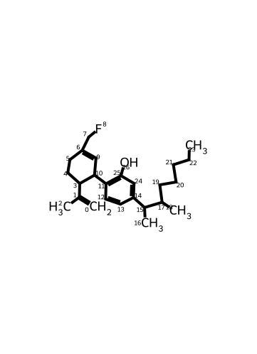 C=C(C)C1CCC(CF)=CC1c1ccc(C(C)C(C)CCCCC)cc1O